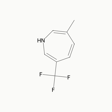 CC1=CNC=C(C(F)(F)F)C=C1